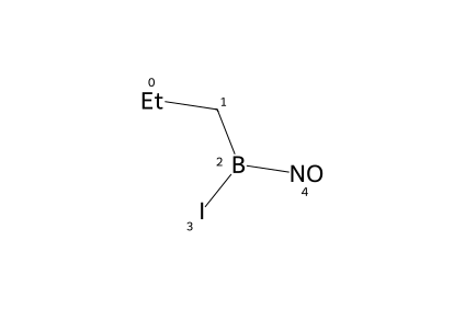 CCCB(I)N=O